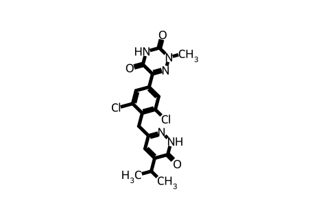 CC(C)c1cc(Cc2c(Cl)cc(-c3nn(C)c(=O)[nH]c3=O)cc2Cl)n[nH]c1=O